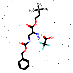 C[Si](C)(C)CCOC(=O)C(N)CNC(=O)OCc1ccccc1.O=C(O)C(F)(F)F